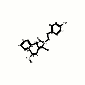 COc1cc2c(C)n(CCc3ccc(F)cc3)nc2c2ccccc12